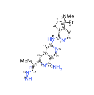 CC[C@]1(NC)CCc2c1ccnc2Nc1cc2cc(/C(=C/N=N)NC)nc(N)c2cn1